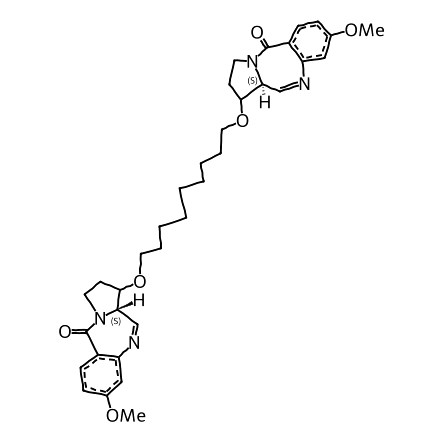 COc1ccc2c(c1)N=C[C@H]1C(OCCCCCCCCCOC3CCN4C(=O)c5ccc(OC)cc5N=C[C@@H]34)CCN1C2=O